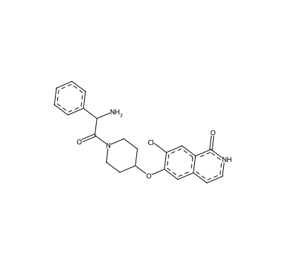 NC(C(=O)N1CCC(Oc2cc3cc[nH]c(=O)c3cc2Cl)CC1)c1ccccc1